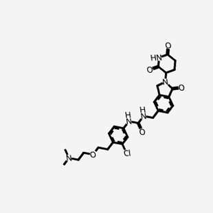 CN(C)CCOCCc1ccc(NC(=O)NCc2ccc3c(c2)CN(C2CCC(=O)NC2=O)C3=O)cc1Cl